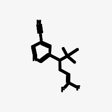 CC(C)(C)C(CC=C(F)F)c1cncc(C#N)c1